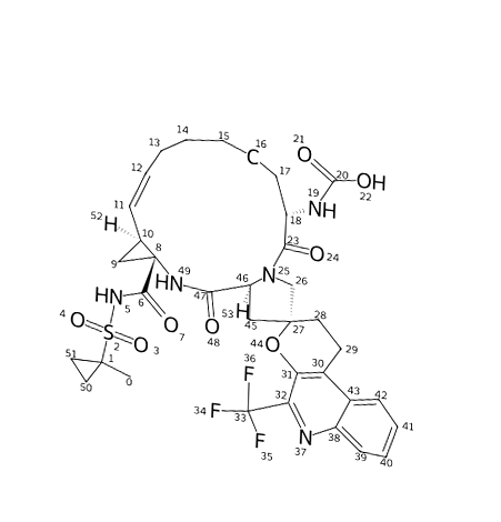 CC1(S(=O)(=O)NC(=O)[C@@]23C[C@H]2/C=C\CCCCC[C@H](NC(=O)O)C(=O)N2C[C@@]4(CCc5c(c(C(F)(F)F)nc6ccccc56)O4)C[C@H]2C(=O)N3)CC1